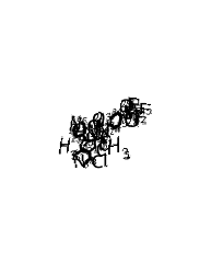 CC(c1ccncc1Cl)C1(C(C)c2ccncc2Cl)NC(=O)N(c2ccc(S(=O)(=O)C(F)(F)F)cc2)C1=O